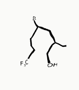 CCC(CCC(F)(F)F)CC(C)CO